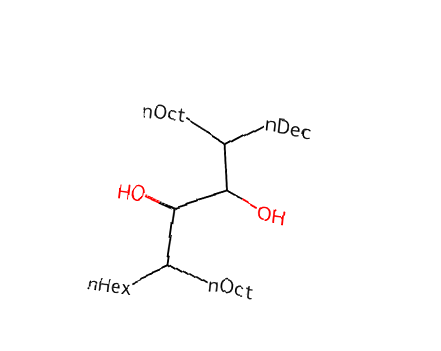 CCCCCCCCCCC(CCCCCCCC)C(O)C(O)C(CCCCCC)CCCCCCCC